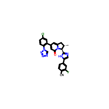 C[C@H]1Cc2cc(-c3cc(Cl)ccc3-n3cnnn3)cc(=O)n2[C@@H]1c1ncc(-c2ccc(C#N)c(F)c2)[nH]1